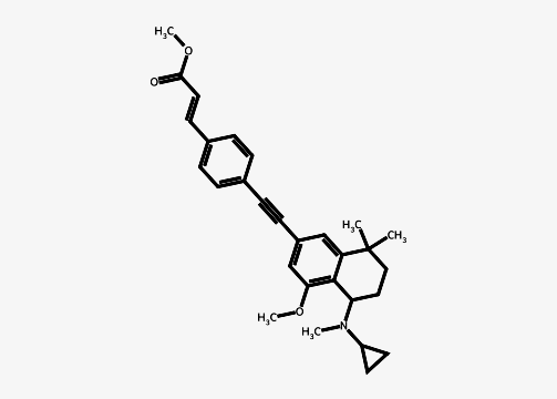 COC(=O)C=Cc1ccc(C#Cc2cc(OC)c3c(c2)C(C)(C)CCC3N(C)C2CC2)cc1